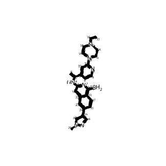 Bc1nc(NC(=C)c2ccnc(N3CCN(CC)CC3)c2)cc2cc(-c3cnn(C)c3)ccc12